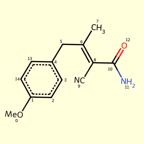 COc1ccc(CC(C)=C(C#N)C(N)=O)cc1